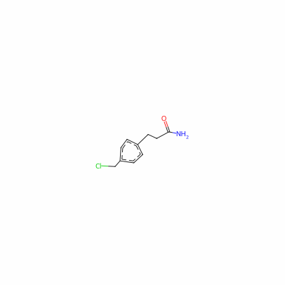 NC(=O)CCc1ccc(CCl)cc1